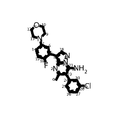 Cc1nc2c(-c3cc(N4CCOCC4)ccc3F)cnn2c(N)c1-c1cccc(Cl)c1